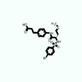 CSCC[C@H](NS(=O)(=O)c1ccc(Br)cc1)C(=O)Nc1ccc(CCC(=O)O)cc1